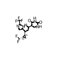 O=c1[nH]cc(-c2cc([C@H]3C[C@@H]3C(F)F)c3cnc(C(F)(F)F)n3n2)c(=O)[nH]1